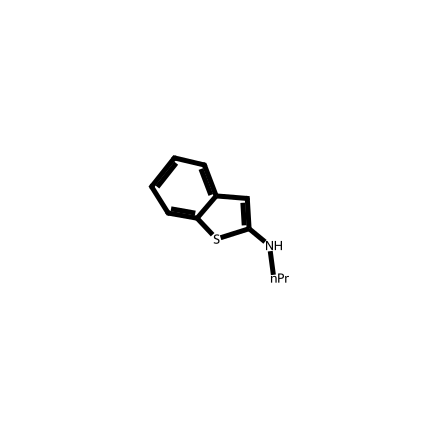 CCCNc1cc2ccccc2s1